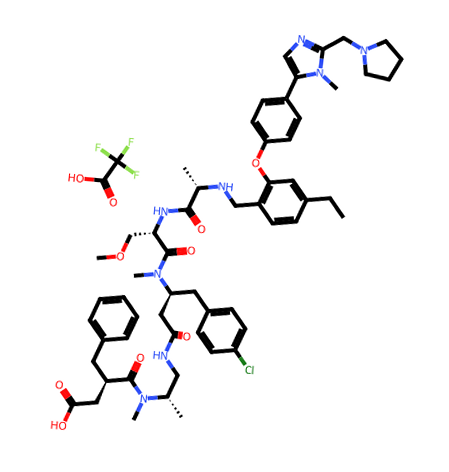 CCc1ccc(CN[C@@H](C)C(=O)N[C@@H](COC)C(=O)N(C)[C@H](CC(=O)NC[C@H](C)N(C)C(=O)[C@@H](CC(=O)O)Cc2ccccc2)Cc2ccc(Cl)cc2)c(Oc2ccc(-c3cnc(CN4CCCC4)n3C)cc2)c1.O=C(O)C(F)(F)F